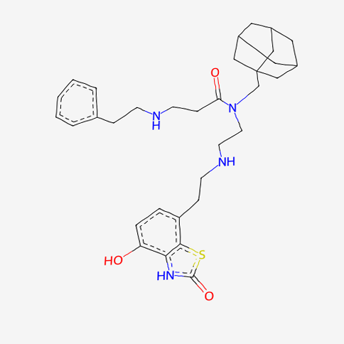 O=C(CCNCCc1ccccc1)N(CCNCCc1ccc(O)c2[nH]c(=O)sc12)CC12CC3CC(CC(C3)C1)C2